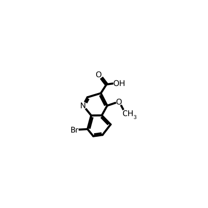 COc1c(C(=O)O)cnc2c(Br)cccc12